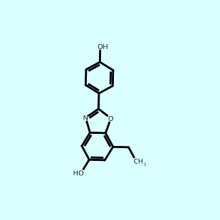 CCc1cc(O)cc2nc(-c3ccc(O)cc3)oc12